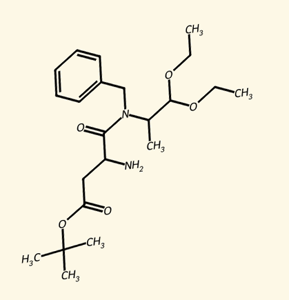 CCOC(OCC)C(C)N(Cc1ccccc1)C(=O)C(N)CC(=O)OC(C)(C)C